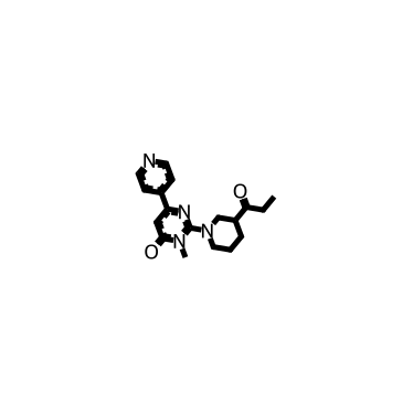 CCC(=O)C1CCCN(c2nc(-c3ccncc3)cc(=O)n2C)C1